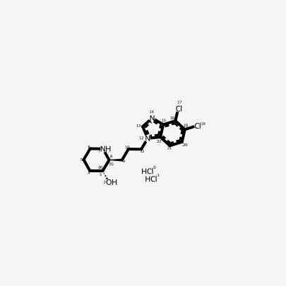 Cl.Cl.O[C@@H]1CCCN[C@H]1CCCn1cnc2c(Cl)c(Cl)ccc21